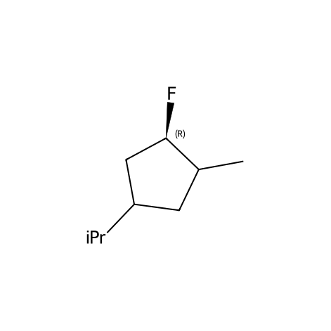 CC(C)C1CC(C)[C@H](F)C1